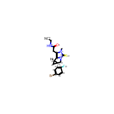 Cn1c(CC(=O)NCC#N)c2n(c1=S)C[C@@]1(c3cc(Br)ccc3F)C[C@@H]21